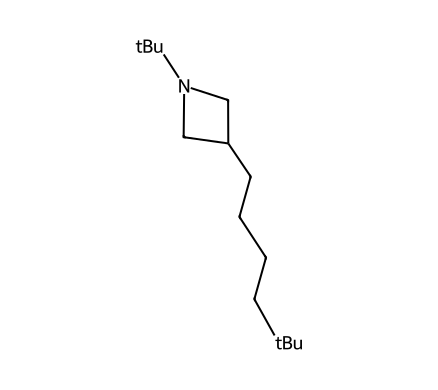 CC(C)(C)CCCCC1CN(C(C)(C)C)C1